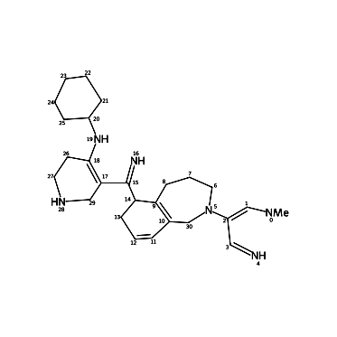 CN/C=C(\C=N)N1CCCC2=C(C=CCC2C(=N)C2=C(NC3CCCCC3)CCNC2)C1